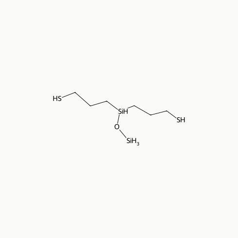 [SiH3]O[SiH](CCCS)CCCS